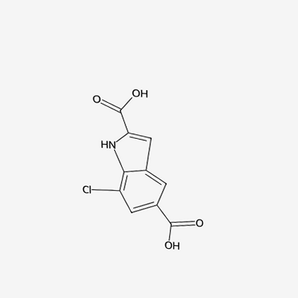 O=C(O)c1cc(Cl)c2[nH]c(C(=O)O)cc2c1